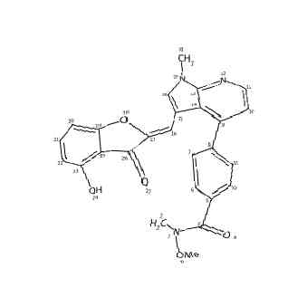 CON(C)C(=O)c1ccc(-c2ccnc3c2c(C=C2Oc4cccc(O)c4C2=O)cn3C)cc1